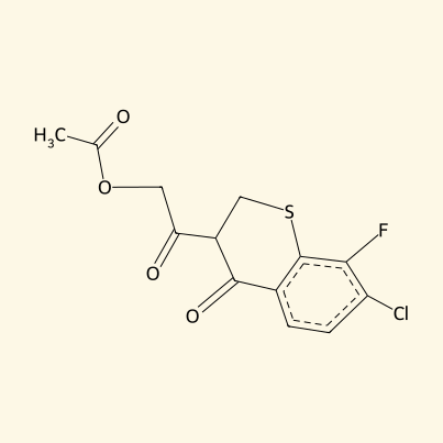 CC(=O)OCC(=O)C1CSc2c(ccc(Cl)c2F)C1=O